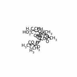 CC(CC(C)(C)OC=O)C(=O)OCC(CO)(COC(=O)C(C)CC(C)(C)C(=O)O)COC(=O)C(C)CC(C)(C)C(=O)O